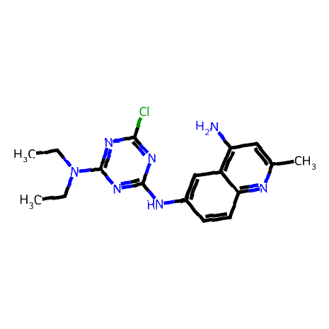 CCN(CC)c1nc(Cl)nc(Nc2ccc3nc(C)cc(N)c3c2)n1